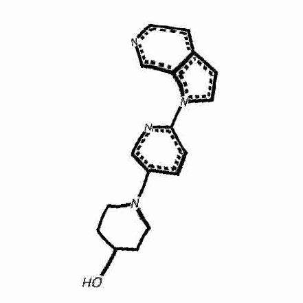 OC1CCN(c2ccc(-n3ccc4ccncc43)nc2)CC1